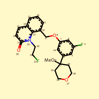 COC1(c2cc(F)cc(OCc3cccc4ccc(=O)n(CCF)c34)c2)CCOCC1